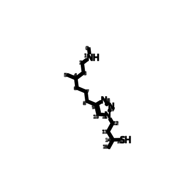 CNCCC(C)CCCc1cn(CCC(C)S)nn1